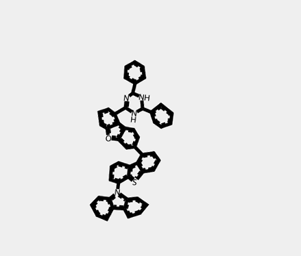 c1ccc(C2N=C(c3cccc4oc5cc(-c6cccc7sc8c(-n9c%10ccccc%10c%10ccccc%109)cccc8c67)ccc5c34)NC(c3ccccc3)N2)cc1